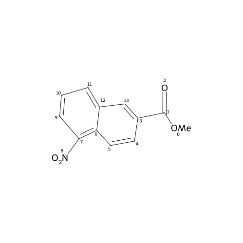 COC(=O)c1ccc2c([N+](=O)[O-])cccc2c1